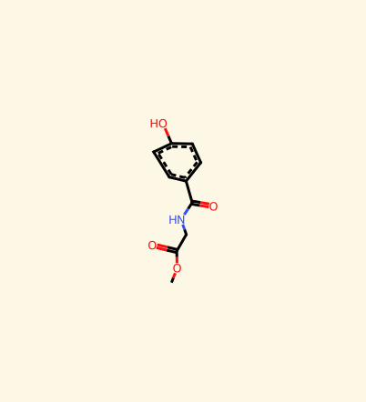 COC(=O)CNC(=O)c1ccc(O)cc1